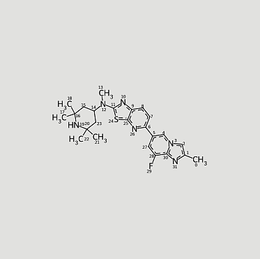 Cc1cn2cc(-c3ccc4nc(N(C)C5CC(C)(C)NC(C)(C)C5)sc4n3)cc(F)c2n1